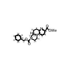 COC(=O)c1ccc2c(n1)CC[C@@H]1CN(C(=O)OCc3ccccc3)CCN21